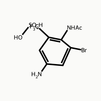 CC(=O)Nc1c(Br)cc(N)cc1C(F)(F)F.O=S(=O)(O)O